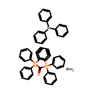 O=C([PH](c1ccccc1)(c1ccccc1)c1ccccc1)[PH](c1ccccc1)(c1ccccc1)c1ccccc1.[RhH3].c1cc[c]([Sb]([c]2ccccc2)[c]2ccccc2)cc1